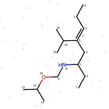 CC/C=C(/CC(CC)NCOC(C)C)C(C)C